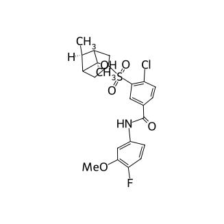 COc1cc(NC(=O)c2ccc(Cl)c(S(=O)(=O)C3CC4[C@H](C)C(C3)[C@]4(C)O)c2)ccc1F